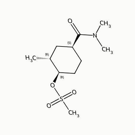 C[C@@H]1C[C@@H](C(=O)N(C)C)CC[C@H]1OS(C)(=O)=O